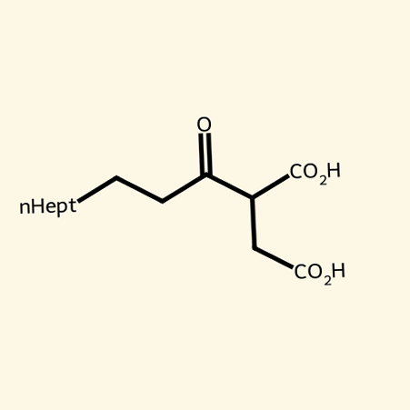 CCCCCCCCCC(=O)C(CC(=O)O)C(=O)O